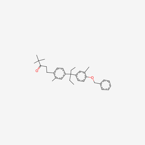 CCC(CC)(c1ccc(CCC(=O)C(C)(C)C)c(C)c1)c1ccc(OCc2ccccc2)c(C)c1